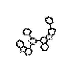 C1=Cc2c(-c3nc(-c4ccccc4)nc(-c4cccc5sc6ccccc6c45)n3)cc3c(oc4ccc(-c5ccccc5)cc43)c2CC1